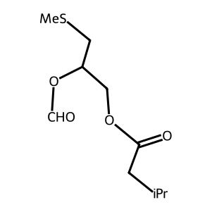 CSCC(COC(=O)CC(C)C)OC=O